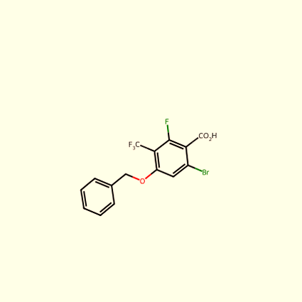 O=C(O)c1c(Br)cc(OCc2ccccc2)c(C(F)(F)F)c1F